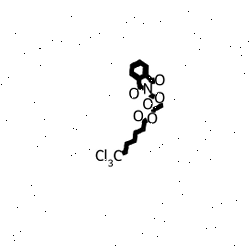 O=C(CCCCCC(Cl)(Cl)Cl)OC1COC(N2C(=O)c3ccccc3C2=O)O1